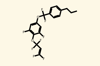 CCCc1ccc(C(F)(F)Oc2cc(F)c(OC(F)(F)C=C(F)F)c(F)c2)cc1